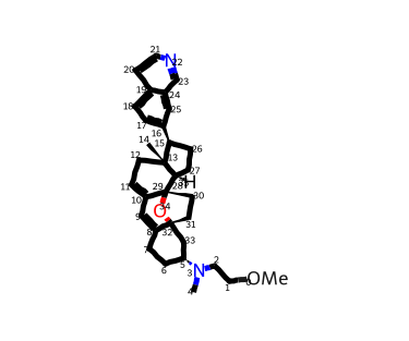 COCCN(C)[C@@H]1CCC2=CC3=CC[C@]4(C)[C@@H](c5ccc6ccncc6c5)CC[C@H]4[C@@]34CC[C@]2(C1)O4